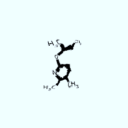 CCC(C)Oc1ccc(C)c(C)n1